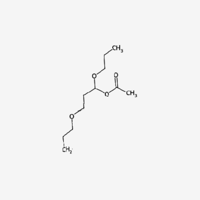 [CH2]CCOCCC(OCCC)OC(C)=O